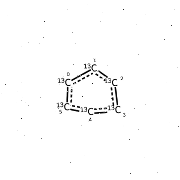 [13cH]1[13cH][13cH][13cH][13cH][13cH]1